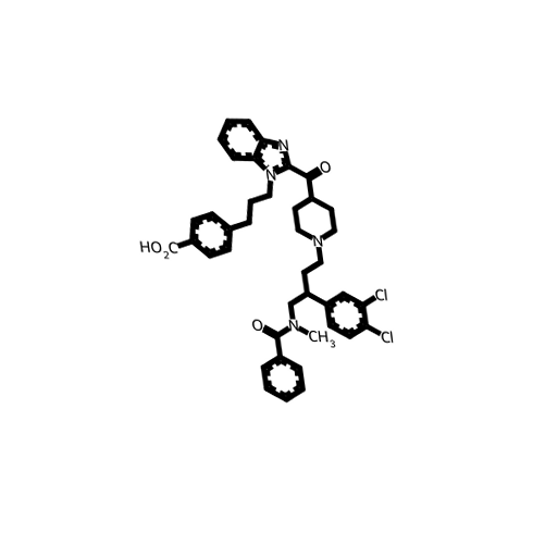 CN(CC(CCN1CCC(C(=O)c2nc3ccccc3n2CCCc2ccc(C(=O)O)cc2)CC1)c1ccc(Cl)c(Cl)c1)C(=O)c1ccccc1